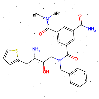 CCCN(CCC)C(=O)c1cc(C(N)=O)cc(C(=O)N(Cc2ccccc2)C[C@@H](O)[C@@H](N)Cc2cccs2)c1